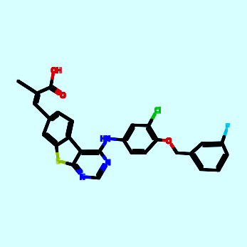 CC(=Cc1ccc2c(c1)sc1ncnc(Nc3ccc(OCc4cccc(F)c4)c(Cl)c3)c12)C(=O)O